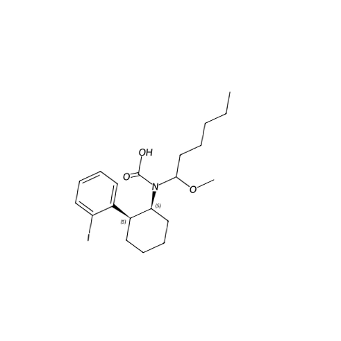 CCCCCC(OC)N(C(=O)O)[C@H]1CCCC[C@H]1c1ccccc1I